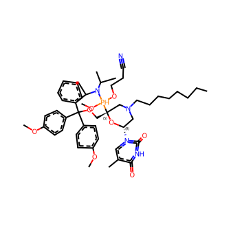 CCCCCCCCN1C[C@H](n2cc(C)c(=O)[nH]c2=O)O[C@](COC(c2ccccc2)(c2ccc(OC)cc2)c2ccc(OC)cc2)([PH](OC)(OCCC#N)N(C(C)C)C(C)C)C1